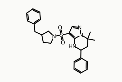 CC1(C)CC(c2ccccc2)Nc2c(S(=O)(=O)N3CCC(Cc4ccccc4)C3)cnn21